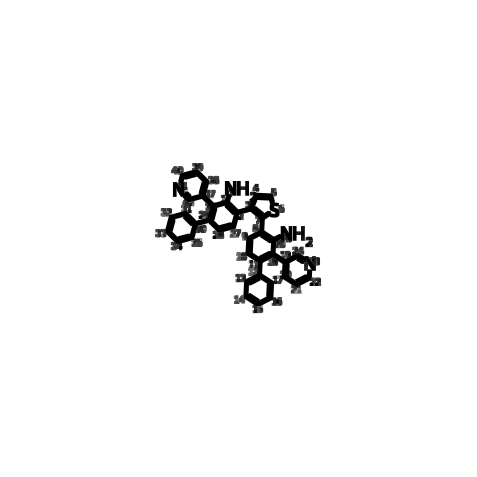 Nc1c(-c2ccsc2-c2ccc(-c3ccccc3)c(-c3cccnc3)c2N)ccc(-c2ccccc2)c1-c1cccnc1